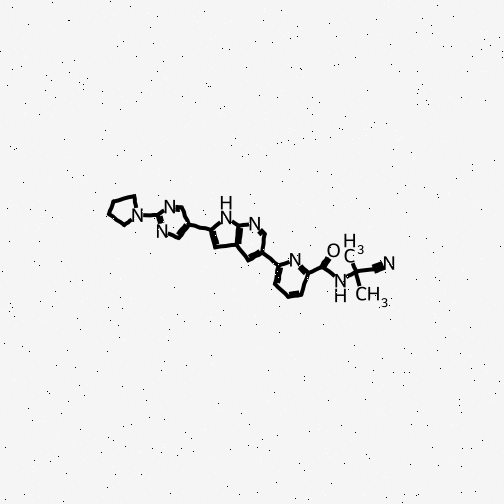 CC(C)(C#N)NC(=O)c1cccc(-c2cnc3[nH]c(-c4cnc(N5CCCC5)nc4)cc3c2)n1